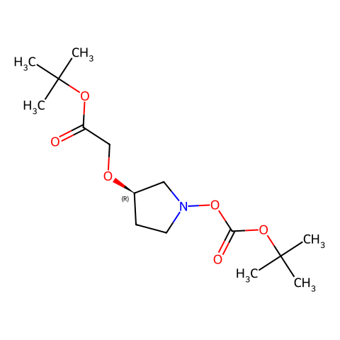 CC(C)(C)OC(=O)CO[C@@H]1CCN(OC(=O)OC(C)(C)C)C1